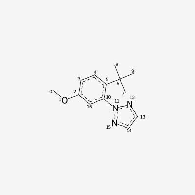 COc1ccc(C(C)(C)C)c(-n2nccn2)c1